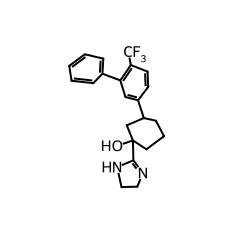 OC1(C2=NCCN2)CCCC(c2ccc(C(F)(F)F)c(-c3ccccc3)c2)C1